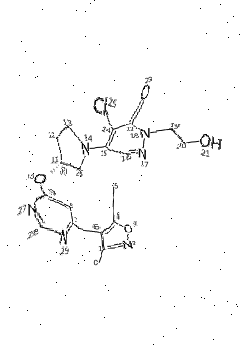 Cc1noc(C)c1-c1cc(O[C@@H]2CCN(c3cnn(CCO)c(=O)c3Cl)C2)ncn1